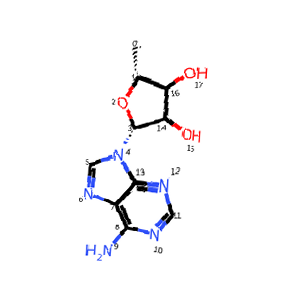 [CH2][C@H]1O[C@@H](n2cnc3c(N)ncnc32)C(O)C1O